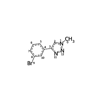 Cn1cc(-c2cccc(Br)c2)nn1